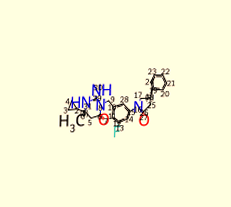 C[C@@]1(C2CC2)CC(=O)N(Cc2cc(F)cc(N3C[C@@H](c4ccccc4)CC3=O)c2)C(=N)N1